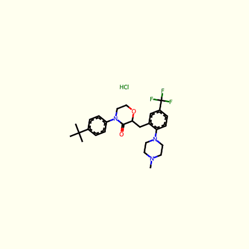 CN1CCN(c2ccc(C(F)(F)F)cc2CC2OCCN(c3ccc(C(C)(C)C)cc3)C2=O)CC1.Cl